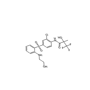 CC(O)(C(=O)Nc1ccc(S(=O)(=O)c2ccccc2NCCO)cc1Cl)C(F)(F)F